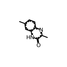 Cc1ccc2nc(C)c(=O)[nH]c2c1